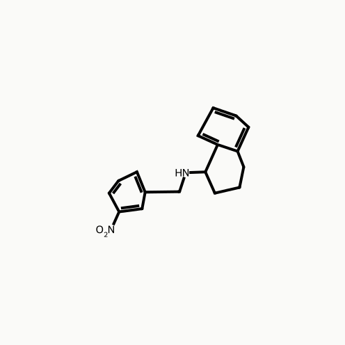 O=[N+]([O-])c1cccc(CNC2CCCc3ccccc32)c1